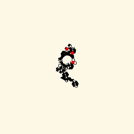 CCn1c(-c2cccnc2[C@H](C)OC)c2c3cc(ccc31)-c1csc(n1)C[C@H](NC(=O)[C@H](C(C)C)N(C)C(=O)N1CCN(C(=O)/C=C/CN3CCOCC3)C3(CC3)C1)C(=O)N1CCC[C@H](N1)C(=O)OCC(C)(C)C2